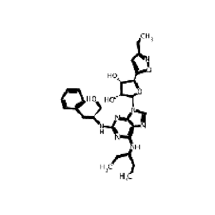 CCc1cc([C@H]2O[C@@H](n3cnc4c(NC(CC)CC)nc(N[C@H](CO)Cc5ccccc5)nc43)[C@H](O)[C@@H]2O)on1